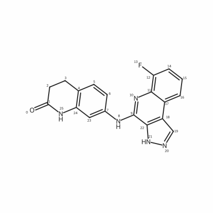 O=C1CCc2ccc(Nc3nc4c(F)cccc4c4cn[nH]c34)cc2N1